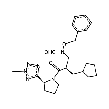 Cn1nnc([C@@H]2CCCN2C(=O)[C@H](CC2CCCC2)CN(C=O)OCc2ccccc2)n1